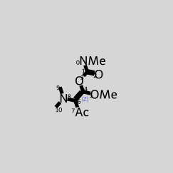 CNC(=O)O/C(OC)=C(/C(C)=O)N(C)C